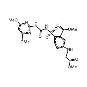 COC(=O)CNc1ccc(S(=O)(=O)NC(=O)Nc2nc(OC)cc(OC)n2)c(C(=O)OC)c1